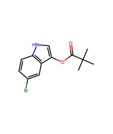 CC(C)(C)C(=O)Oc1c[nH]c2ccc(Br)cc12